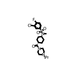 CC(C)N1CCN(C(=O)[C@H]2CC[C@H](N(C)S(=O)(=O)c3ccc(F)c(Cl)c3)CC2)CC1